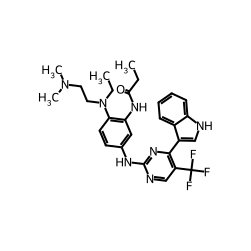 CCC(=O)Nc1cc(Nc2ncc(C(F)(F)F)c(-c3c[nH]c4ccccc34)n2)ccc1N(CC)CCN(C)C